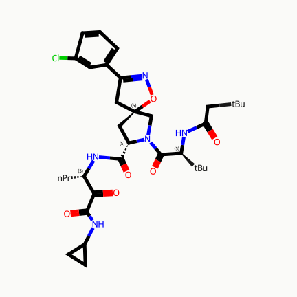 CCC[C@H](NC(=O)[C@@H]1C[C@]2(CC(c3cccc(Cl)c3)=NO2)CN1C(=O)[C@@H](NC(=O)CC(C)(C)C)C(C)(C)C)C(=O)C(=O)NC1CC1